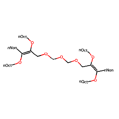 CCCCCCCCCC(OCCCCCCCC)=C(COCOCOCC(OCCCCCCCC)=C(CCCCCCCCC)OCCCCCCCC)OCCCCCCCC